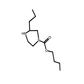 CCCCOC(=O)N1CCNC(CCC)C1